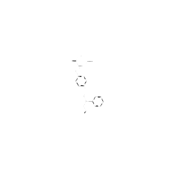 CCO[C@@H](Cc1ccc(OCC(CC=O)c2ccccc2)cc1)C(=O)O